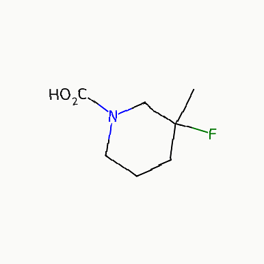 CC1(F)CCCN(C(=O)O)C1